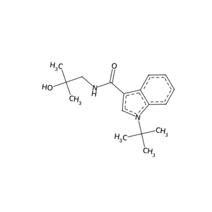 CC(C)(O)CNC(=O)c1cn(C(C)(C)C)c2ccccc12